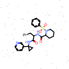 CC(C)CC(NC(=O)C1CCCCN1S(=O)(=O)c1ccccc1)C(=O)NC1(c2cccnc2)CC1